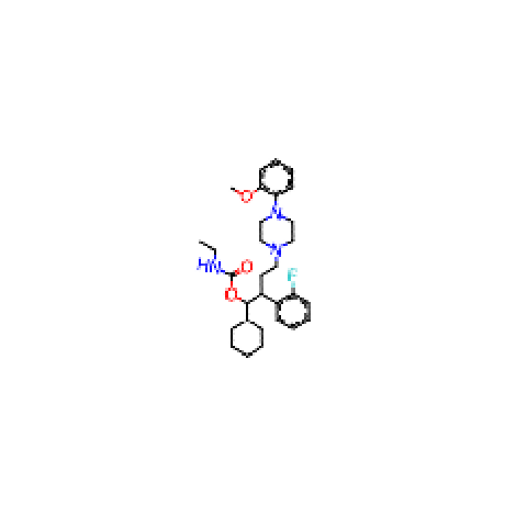 CCNC(=O)OC(C1CCCCC1)C(CCN1CCN(c2ccccc2OC)CC1)c1ccccc1F